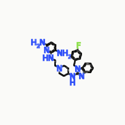 Nc1ccc(N)c(NCCN2CCC(Nc3nc4ccccc4n3Cc3ccc(F)cc3)CC2)n1